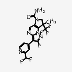 CC1(C(F)(F)F)CN(C(N)=O)c2cnc3c(-c4ccnc(C(F)F)c4)c(F)nn3c21